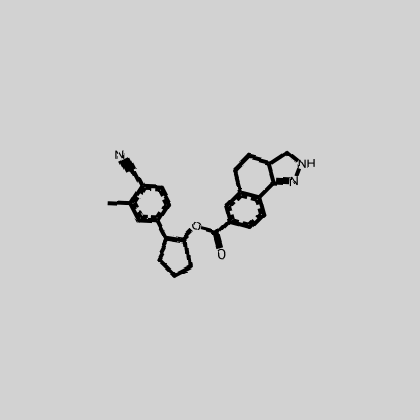 Cc1cc(C2CCCC2OC(=O)c2ccc3c(c2)CCC2CNN=C32)ccc1C#N